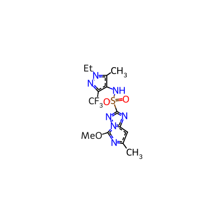 CCn1nc(C(F)(F)F)c(NS(=O)(=O)c2nc3cc(C)nc(OC)n3n2)c1C